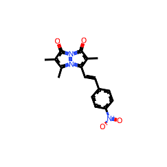 Cc1c(C)n2c(/C=C/c3ccc([N+](=O)[O-])cc3)c(C)c(=O)n2c1=O